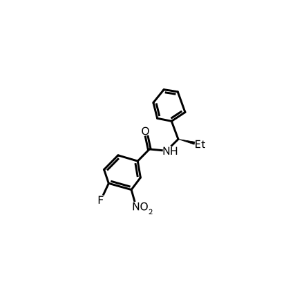 CC[C@@H](NC(=O)c1ccc(F)c([N+](=O)[O-])c1)c1ccccc1